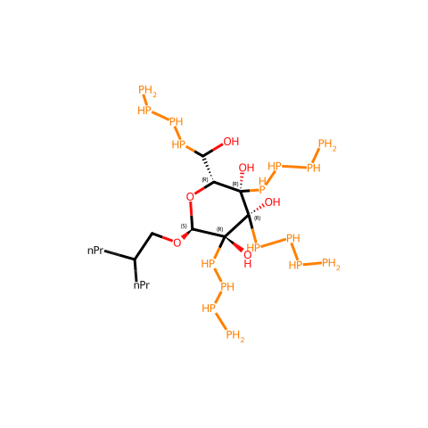 CCCC(CCC)CO[C@H]1O[C@H](C(O)PPPP)[C@@](O)(PPPP)[C@@](O)(PPPP)[C@]1(O)PPPP